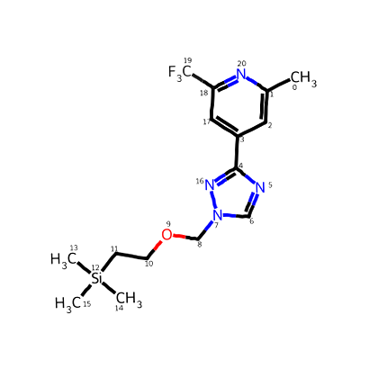 Cc1cc(-c2ncn(COCC[Si](C)(C)C)n2)cc(C(F)(F)F)n1